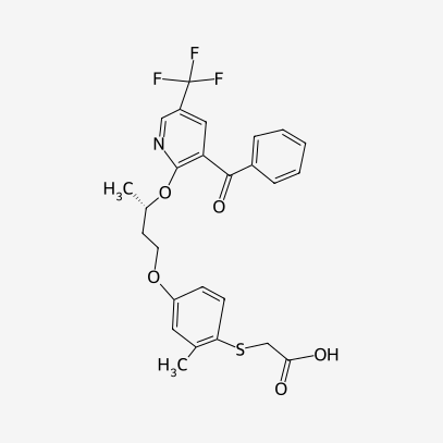 Cc1cc(OCC[C@H](C)Oc2ncc(C(F)(F)F)cc2C(=O)c2ccccc2)ccc1SCC(=O)O